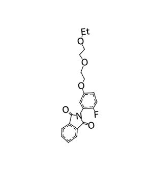 CCOCCOCCOc1ccc(F)c(N2C(=O)c3ccccc3C2=O)c1